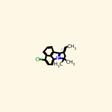 C/C=C1\CC(C)(C)[N+]2=C1c1cccc3c(Cl)ccc2c13